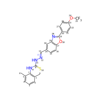 Cc1cccc(C)c1NC(=S)N/N=C/c1ccc2oc(-c3ccc(OC(F)(F)F)cc3)nc2c1